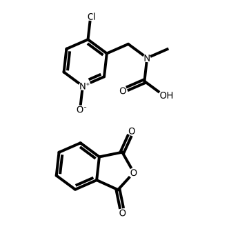 CN(Cc1c[n+]([O-])ccc1Cl)C(=O)O.O=C1OC(=O)c2ccccc21